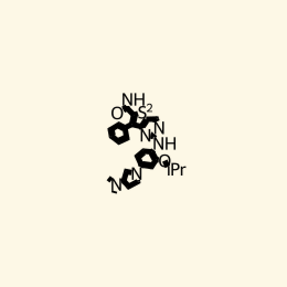 CC(C)Oc1cc(N2CCC(N(C)C)C2)ccc1Nc1ncc2sc(C(N)=O)c(-c3ccccc3)c2n1